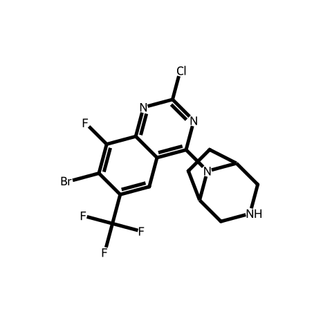 Fc1c(Br)c(C(F)(F)F)cc2c(N3C4CCC3CNC4)nc(Cl)nc12